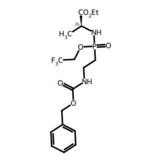 CCOC(=O)[C@H](C)NP(=O)(CCNC(=O)OCc1ccccc1)OCC(F)(F)F